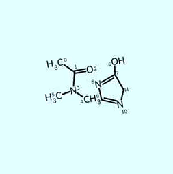 CC(=O)N(C)C.OC1=NC=NC1